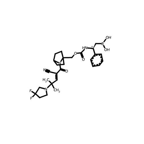 CC(C)(C=C(C#N)C(=O)N1C2CCC1(COC(=O)N[C@@H](CB(O)O)c1ccccc1)CC2)N1CCC(F)(F)C1